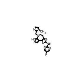 Cn1ccnc1CN1CCc2sc(Nc3ncc(F)cn3)nc2-c2cn[nH]c21